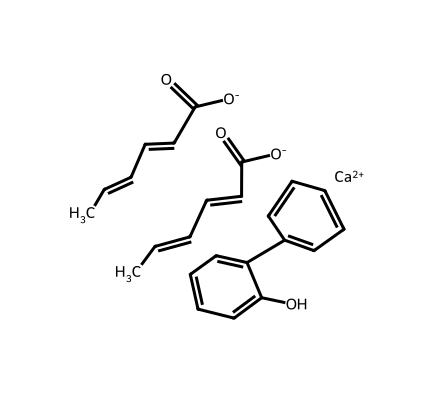 C/C=C/C=C/C(=O)[O-].C/C=C/C=C/C(=O)[O-].Oc1ccccc1-c1ccccc1.[Ca+2]